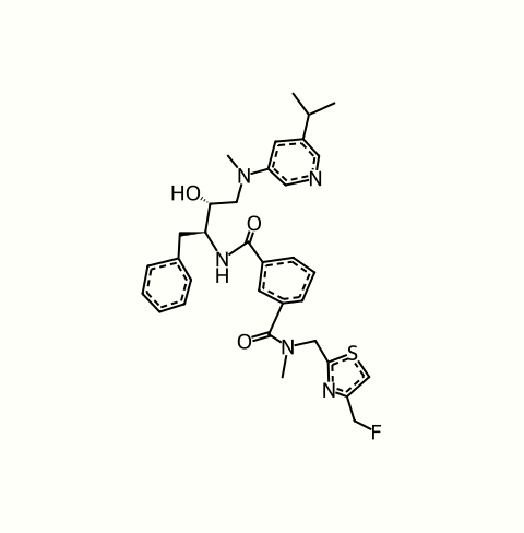 CC(C)c1cncc(N(C)C[C@@H](O)[C@H](Cc2ccccc2)NC(=O)c2cccc(C(=O)N(C)Cc3nc(CF)cs3)c2)c1